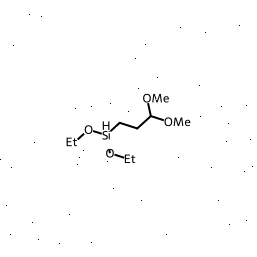 CCO[SiH](CCC(OC)OC)OCC